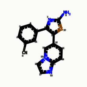 N#Cc1cccc(-c2nc(N)sc2-c2ccc3nccn3c2)c1